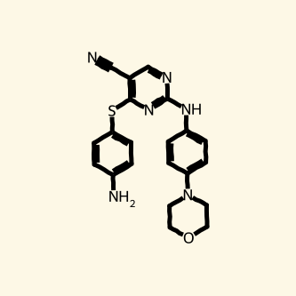 N#Cc1cnc(Nc2ccc(N3CCOCC3)cc2)nc1Sc1ccc(N)cc1